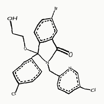 O=C1c2cc(Br)ccc2C(OCCO)(c2ccc(Cl)cc2)N1Cc1ccc(Cl)cn1